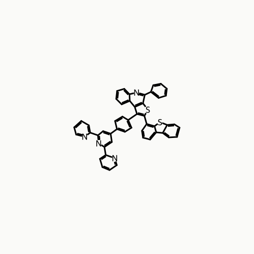 c1ccc(-c2nc3ccccc3c3c(-c4ccc(-c5cc(-c6ccccn6)nc(-c6ccccn6)c5)cc4)c(-c4cccc5c4sc4ccccc45)sc23)cc1